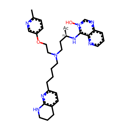 CC(=O)[C@H](CCN(CCCCc1ccc2c(n1)NCCC2)CCOc1ccc(C)nc1)Nc1c2ncccc2nc[n+]1O